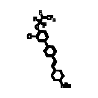 CCCCC1CCC(C=Cc2ccc(-c3ccc(OC(F)(F)C(F)C(F)(F)F)c(Cl)c3)cc2)CC1